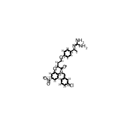 CC(N=C(N)N)c1ccc(OCCC2Oc3cc([N+](=O)[O-])ccc3N(Cc3cccc(Cl)c3)C2=O)cc1